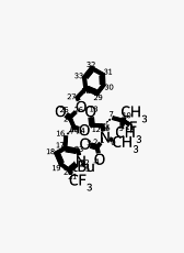 CN(C(=O)OC(C)(C)C)[C@@H](CC(C)(C)F)C(=O)O[C@H](Cc1ccc(C(F)(F)F)nc1)C(=O)OCc1ccccc1